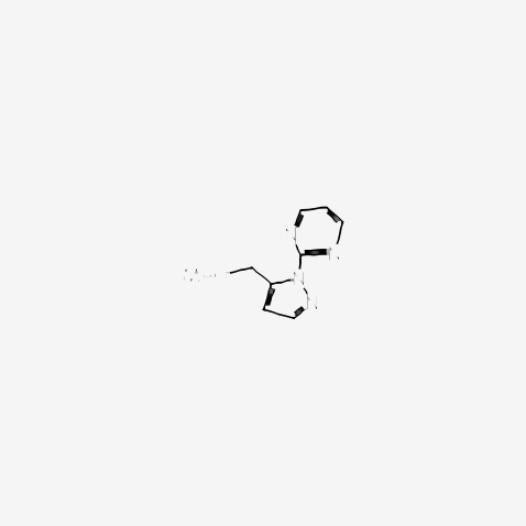 COCc1[c]cnn1-c1ncccn1